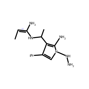 C/C=C(/N)NC(C)c1c(C(C)C)cn(NN)c1N